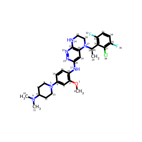 COc1cc(N2CCC(N(C)C)CC2)ccc1Nc1cc2c(nn1)NCCN2[C@H](C)c1c(F)ccc(F)c1Cl